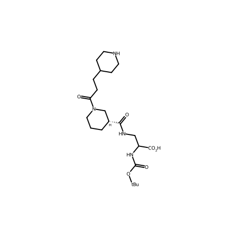 CC(C)(C)OC(=O)NC(CNC(=O)[C@@H]1CCCN(C(=O)CCC2CCNCC2)C1)C(=O)O